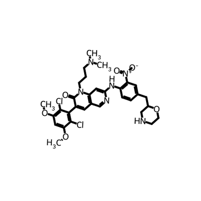 COc1cc(OC)c(Cl)c(-c2cc3cnc(Nc4ccc(CC5CNCCO5)cc4[N+](=O)[O-])cc3n(CCCN(C)C)c2=O)c1Cl